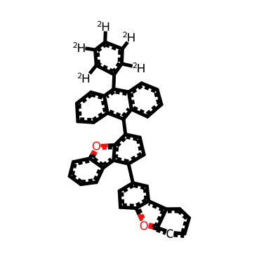 [2H]c1c([2H])c([2H])c(-c2c3ccccc3c(-c3ccc(-c4ccc5oc6ccccc6c5c4)c4c3oc3ccccc34)c3ccccc23)c([2H])c1[2H]